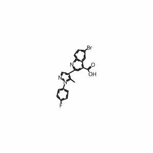 Cc1c(-c2cc(C(=O)O)c3cc(Br)ccc3n2)cnn1-c1ccc(F)cc1